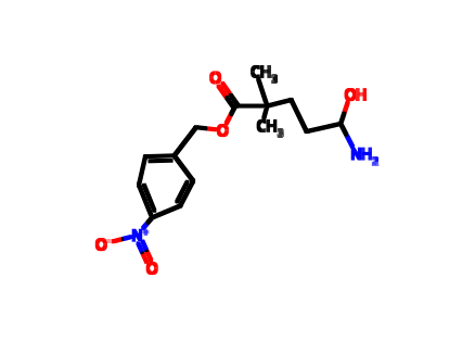 CC(C)(CCC(N)O)C(=O)OCc1ccc([N+](=O)[O-])cc1